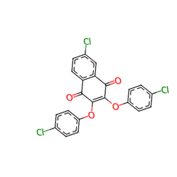 O=C1C(Oc2ccc(Cl)cc2)=C(Oc2ccc(Cl)cc2)C(=O)c2cc(Cl)ccc21